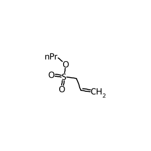 C=CCS(=O)(=O)OCCC